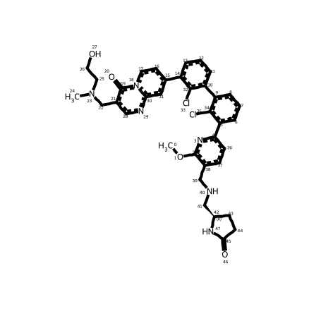 COc1nc(-c2cccc(-c3cccc(-c4ccn5c(=O)c(CN(C)CCO)cnc5c4)c3Cl)c2Cl)ccc1CNC[C@H]1CCC(=O)N1